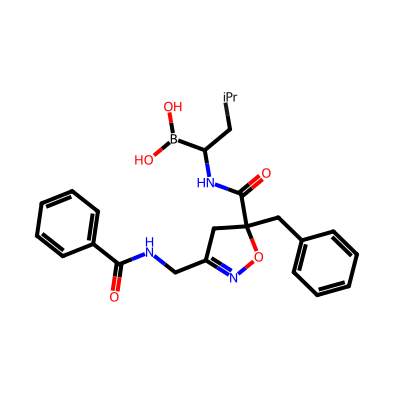 CC(C)CC(NC(=O)C1(Cc2ccccc2)CC(CNC(=O)c2ccccc2)=NO1)B(O)O